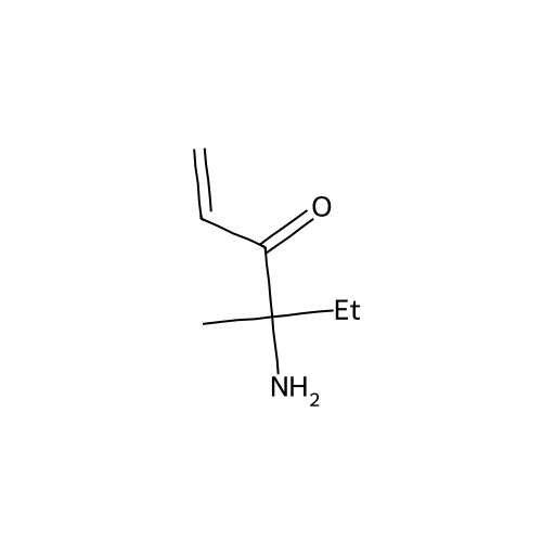 [CH2]CC(C)(N)C(=O)C=C